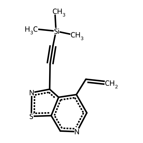 C=Cc1cncc2snc(C#C[Si](C)(C)C)c12